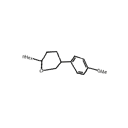 CCCCCCC1CCC(c2ccc(OC)cc2)CO1